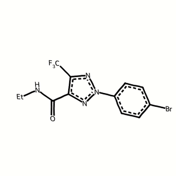 CCNC(=O)c1nn(-c2ccc(Br)cc2)nc1C(F)(F)F